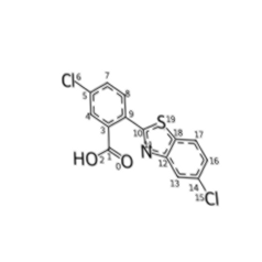 O=C(O)c1cc(Cl)ccc1-c1nc2cc(Cl)ccc2s1